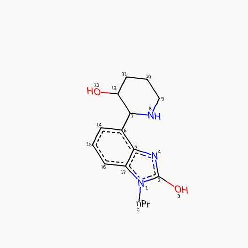 CCCn1c(O)nc2c(C3NCCCC3O)cccc21